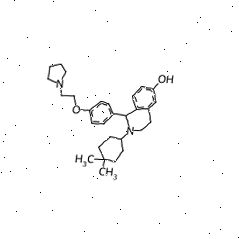 CC1(C)CCC(N2CCc3cc(O)ccc3C2c2ccc(OCCN3CCCC3)cc2)CC1